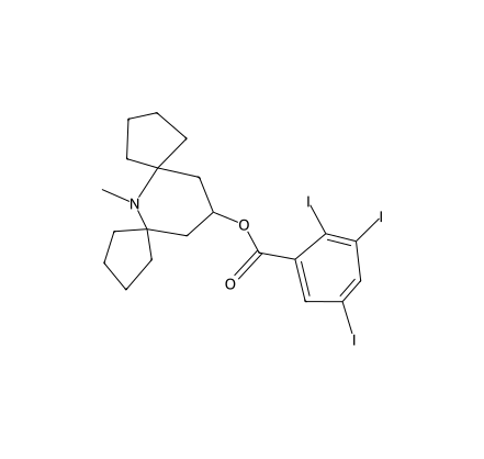 CN1C2(CCCC2)CC(OC(=O)c2cc(I)cc(I)c2I)CC12CCCC2